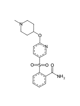 CN1CCC(Oc2ccc(S(=O)(=O)c3ccccc3C(N)=O)cn2)CC1